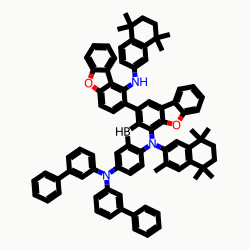 Cc1cc2c(cc1N1c3ccc(N(c4cccc(-c5ccccc5)c4)c4cccc(-c5ccccc5)c4)cc3Bc3c(-c4ccc5oc6ccccc6c5c4Nc4ccc5c(c4)C(C)(C)CCC5(C)C)cc4c(oc5ccccc54)c31)C(C)(C)CCC2(C)C